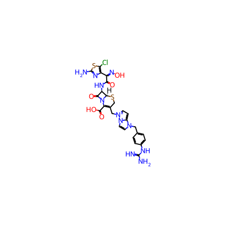 N=C(N)Nc1ccc(Cn2ccn3c2cc[n+]3CC2=C(C(=O)O)N3C(=O)[C@@H](NC(=O)/C(=N\O)c4nc(N)sc4Cl)[C@H]3SC2)cc1